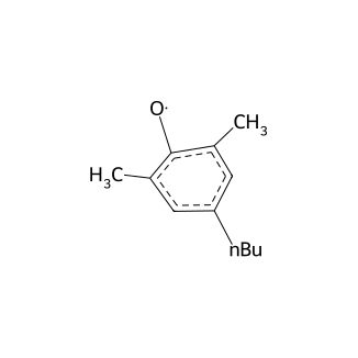 CCCCc1cc(C)c([O])c(C)c1